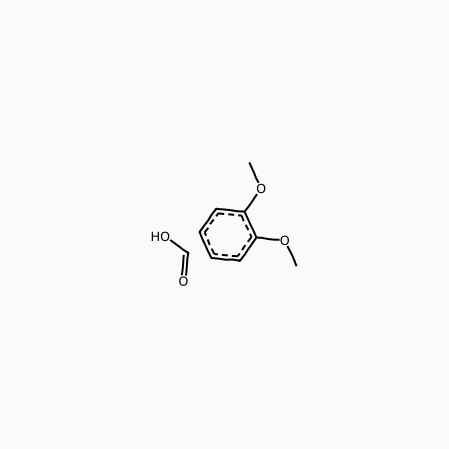 COc1ccccc1OC.O=CO